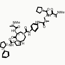 CN[C@@H](C)C(=O)N[C@H]1CN(C(=O)Nc2ccc(NC(=O)N(C)C[C@@H](NC(=O)[C@H](C)NC)C(=O)N3CCCC3)cc2)CC[C@H]2CC[C@@H](C(=O)N[C@H]3CCC[C@H]3c3ccccc3)N2C1=O